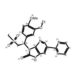 CCOc1cc([C@H](CS(C)(=O)=O)n2c(=O)[nH]c3cc(-c4ncccn4)cnc32)ccc1OC